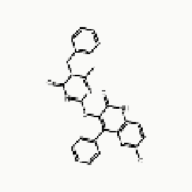 CC1=NC(Sc2c(-c3ccccc3)c3cc(Cl)ccc3[nH]c2=O)=NC(=O)C1Cc1ccccc1